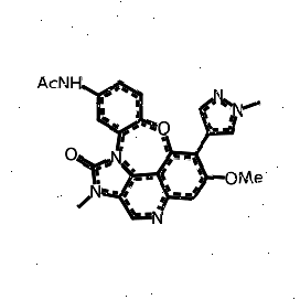 COc1cc2ncc3c4c2c(oc2ccc(NC(C)=O)cc2n4c(=O)n3C)c1-c1cnn(C)c1